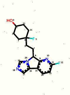 OC1CCC(F)(CCC2c3nc(F)ccc3-c3cncn32)CC1